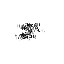 CCCCC(NC(=O)[C@@H]1[C@@H]2[C@H](CN1C(=O)[C@@H](NC(=O)OC(C)(C)C)C(C)(C)C)C2(C)C)C(=O)C(=O)O